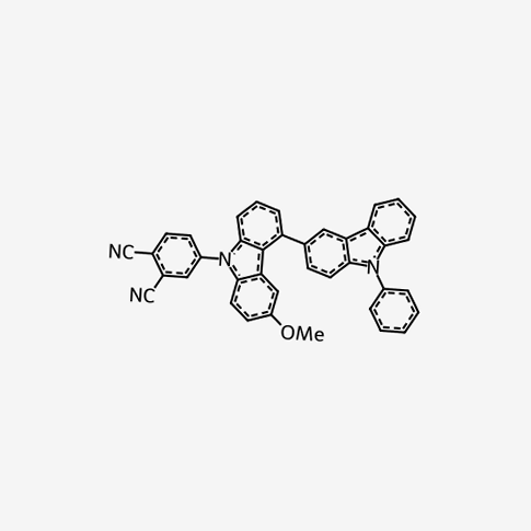 COc1ccc2c(c1)c1c(-c3ccc4c(c3)c3ccccc3n4-c3ccccc3)cccc1n2-c1ccc(C#N)c(C#N)c1